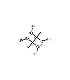 CC(OF)(OF)C(C)(OF)OF